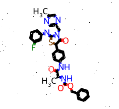 Cc1cnc(CN2C(=O)C(c3ccc(NC(=O)[C@H](C)NC(=O)OCc4ccccc4)cc3)S/C2=N\c2cccc(F)c2)cn1